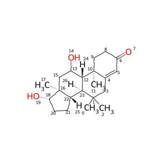 CC1(C)CC2=CC(=O)CC[C@]2(C)[C@H]2C(O)C[C@]3(C)[C@@H](O)CC[C@H]3[C@@H]21